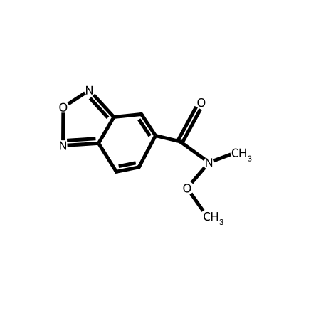 CON(C)C(=O)c1ccc2nonc2c1